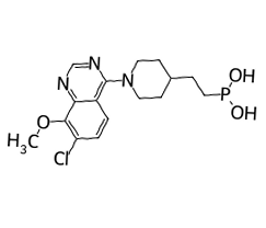 COc1c(Cl)ccc2c(N3CCC(CCP(O)O)CC3)ncnc12